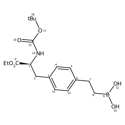 CCOC(=O)[C@H](Cc1ccc(CCB(O)O)cc1)NC(=O)OC(C)(C)C